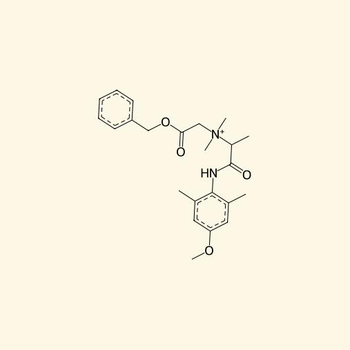 COc1cc(C)c(NC(=O)C(C)[N+](C)(C)CC(=O)OCc2ccccc2)c(C)c1